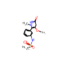 COC1=C(c2cccc(NS(C)(=O)=O)c2)N(C)NC(=O)C1